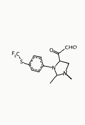 CC1N(C)CC(C(=O)C=O)N1c1ccc(SC(F)(F)F)cc1